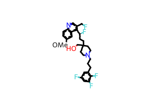 COc1ccc2ncc(CF)c([C@@H](F)CCC3(CO)CCN(CCCc4cc(F)cc(F)c4F)CC3)c2c1